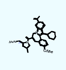 C=C(C)c1ccc2c(C3CCCCC3)c3n(c2c1)CC(C(=C)N1CC(C)C/C1=C\NC)=Cc1cc(OC)ccc1-3